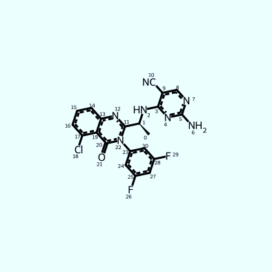 C[C@H](Nc1nc(N)ncc1C#N)c1nc2cccc(Cl)c2c(=O)n1-c1cc(F)cc(F)c1